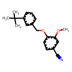 COc1cc(C#N)ccc1OCc1cccc(C(C)(C)C)c1